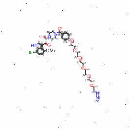 COc1ccc(Br)c2[nH]cc(C(=O)C(=O)N3CCN(C(=O)c4ccc(OCCOCCOCCOCCOCCOCCN=[N+]=[N-])cc4)CC3)c12